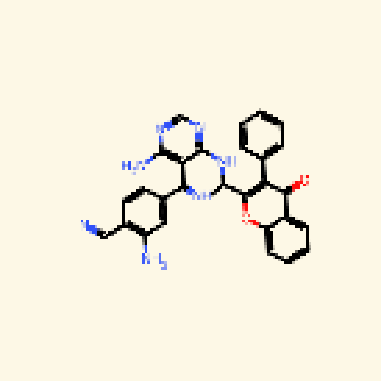 CC(Nc1ncnc(N)c1C(=N)c1ccc(C=N)c(N)c1)c1oc2ccccc2c(=O)c1-c1ccccc1